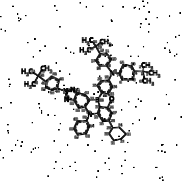 CC(C)(C)c1ccc(N(c2ccc(C(C)(C)C)cc2)c2ccc3c(c2)Oc2cc(C4CCCCC4)cc4c2B3c2cc3nn(-c5ccc(C(C)(C)C)cc5)nc3cc2N4c2ccccc2)cc1